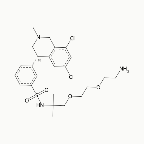 CN1Cc2c(Cl)cc(Cl)cc2[C@H](c2cccc(S(=O)(=O)NC(C)(C)COCCOCCN)c2)C1